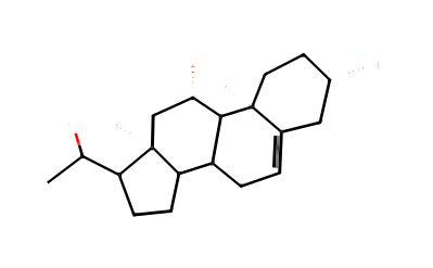 CC(O)C1CCC2C3CC=C4C[C@@H](O)CC[C@]4(C)C3[C@@H](O)C[C@]12C